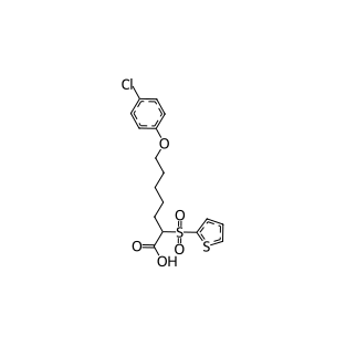 O=C(O)C(CCCCCOc1ccc(Cl)cc1)S(=O)(=O)c1cccs1